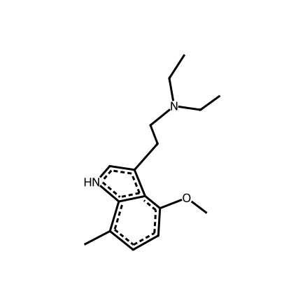 CCN(CC)CCc1c[nH]c2c(C)ccc(OC)c12